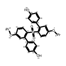 CC(C)Oc1ccc(S(=O)(=O)c2ccc(OC(C)C)cc2-c2ccc(O)cc2)c(-c2ccc(O)cc2)c1